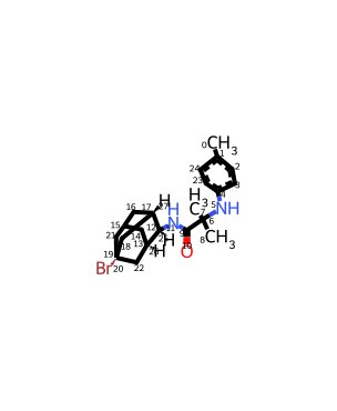 Cc1ccc(NC(C)(C)C(=O)N[C@H]2[C@@H]3CC4C[C@H]2C[C@](Br)(C4)C3)cc1